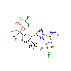 Cc1ccc(C2(OC(=O)C(F)(F)F)CCCC2F)cc1-c1cnc2c(N)nc(C(F)(F)F)cn12